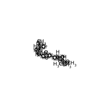 COC(=O)N[C@H](C(=O)N1CCC[C@H]1C1=NC2C=CC(c3ccc4c(=O)c5cc(C6CN=C([C@@H]7CCCN7C(=O)[C@H](NC(=O)OC)c7ccccc7)N6)ccc5oc4c3)=CC2N1)C(C)C